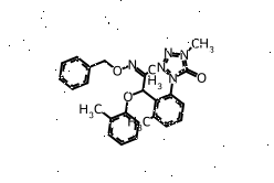 CC(=NOCc1ccccc1)C(Oc1ccccc1C)c1c(C)cccc1-n1nnn(C)c1=O